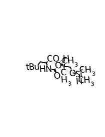 C[SiH](C)OCC(C)(C)OC(=O)NC(CC(C)(C)C)C(=O)O